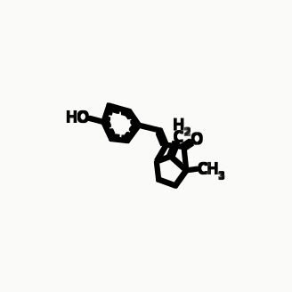 C=C1C2CCC1(C)C(=O)/C2=C/c1ccc(O)cc1